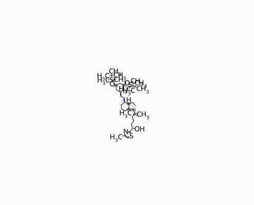 Cc1csc(C(O)CCC[C@@H](C)[C@H]2CC[C@H]3/C(=C/C=C4C[C@@H](O[Si](C)(C)C(C)(C)C)C[C@H](O[Si](C)(C)C(C)(C)C)C4)CCC[C@]23C)n1